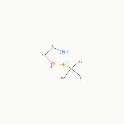 CC(C)(C)P1NCCO1